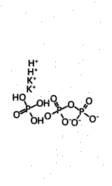 O=P(O)(O)O.O=P([O-])([O-])OP(=O)([O-])[O-].[H+].[H+].[K+].[K+]